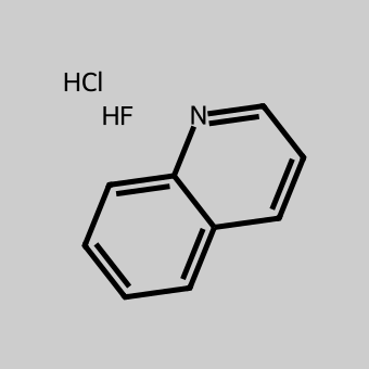 Cl.F.c1ccc2ncccc2c1